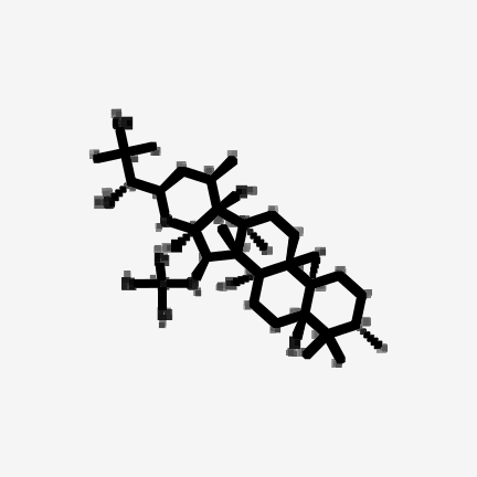 CC[Si](CC)(CC)O[C@H]1[C@H]2O[C@@H]([C@H](O)C(C)(C)O)C[C@@H](C)[C@@H]2[C@@]2(C)CC[C@@]34C[C@@]35CC[C@H](C)C(C)(C)[C@@H]5CC[C@H]4[C@]12C